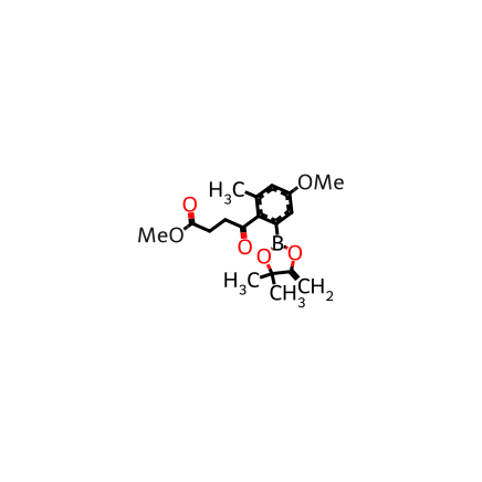 C=C1OB(c2cc(OC)cc(C)c2C(=O)CCC(=O)OC)OC1(C)C